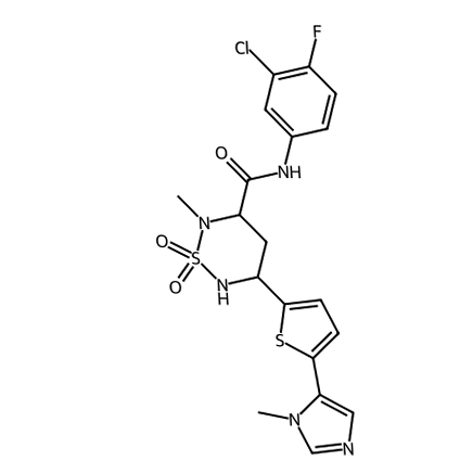 CN1C(C(=O)Nc2ccc(F)c(Cl)c2)CC(c2ccc(-c3cncn3C)s2)NS1(=O)=O